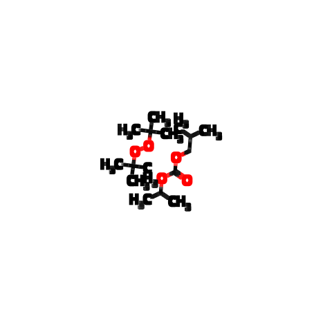 CC(C)(C)OOC(C)(C)C.CC(C)COC(=O)OC(C)C